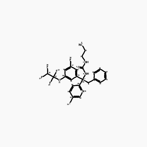 N#CCCNC(=O)N[C@@](Cc1ccccc1)(c1cc(F)cc(OC(F)(F)C(F)F)c1)c1ccc(I)cn1